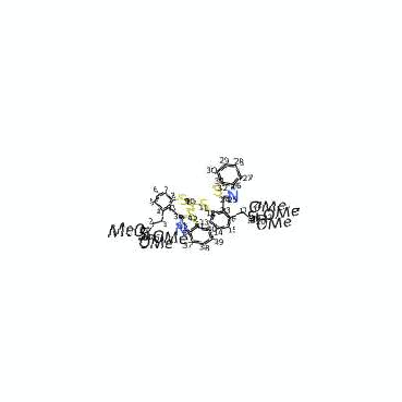 CO[Si](CCc1cccc(SSSc2cccc(CC[Si](OC)(OC)OC)c2-c2nc3ccccc3s2)c1-c1nc2ccccc2s1)(OC)OC